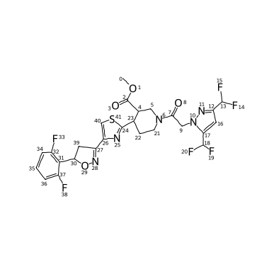 COC(=O)C1CN(C(=O)Cn2nc(C(F)F)cc2C(F)F)CCC1c1nc(C2=NOC(c3c(F)cccc3F)C2)cs1